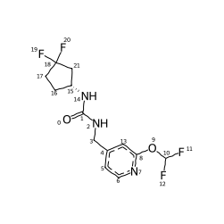 O=C(NCc1ccnc(OC(F)F)c1)N[C@@H]1CCC(F)(F)C1